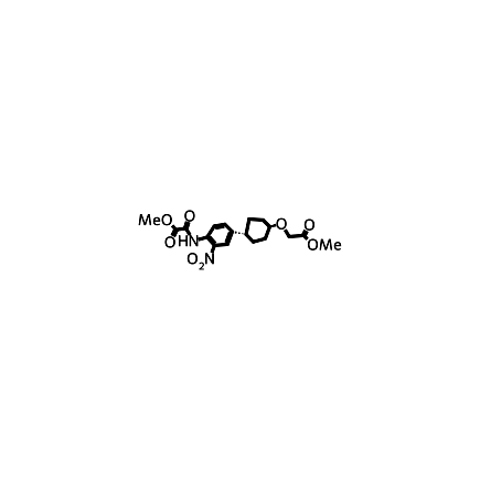 COC(=O)CO[C@H]1CC[C@H](c2ccc(NC(=O)C(=O)OC)c([N+](=O)[O-])c2)CC1